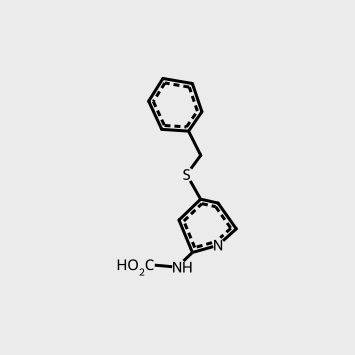 O=C(O)Nc1cc(SCc2ccccc2)ccn1